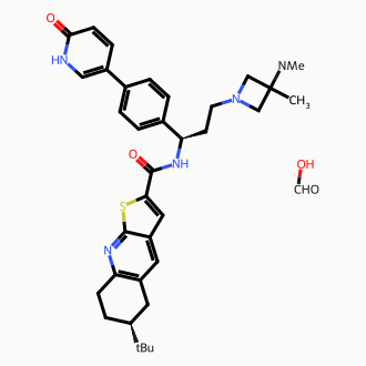 CNC1(C)CN(CC[C@@H](NC(=O)c2cc3cc4c(nc3s2)CC[C@H](C(C)(C)C)C4)c2ccc(-c3ccc(=O)[nH]c3)cc2)C1.O=CO